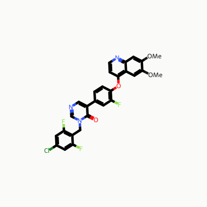 COc1cc2nccc(Oc3ccc(-c4cncn(Cc5c(F)cc(Cl)cc5F)c4=O)cc3F)c2cc1OC